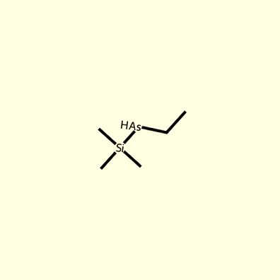 CC[AsH][Si](C)(C)C